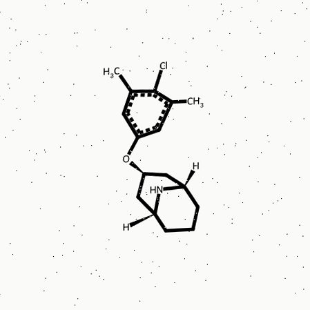 Cc1cc(O[C@@H]2C[C@H]3CCC[C@@H](C2)N3)cc(C)c1Cl